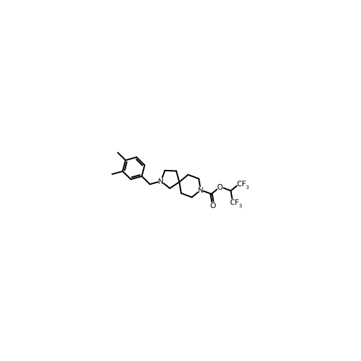 Cc1ccc(CN2CCC3(CCN(C(=O)OC(C(F)(F)F)C(F)(F)F)CC3)C2)cc1C